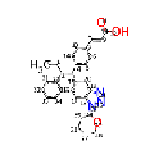 CCC(=C(c1ccc(C=CC(=O)O)cc1)c1ccc2c(c1)nnn2C1CCCCO1)c1ccccc1